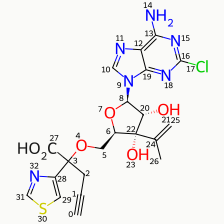 C#CCC(OC[C@H]1O[C@@H](n2cnc3c(N)nc(Cl)nc32)[C@H](O)[C@@]1(O)C(=C)C)(C(=O)O)c1cscn1